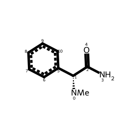 CN[C@@H](C(N)=O)c1ccccc1